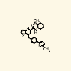 CO[C@H]1CCCC[C@@H]1NC(=O)c1cc(Cc2ccc(-c3csc(C)n3)cc2)c2sccc2n1